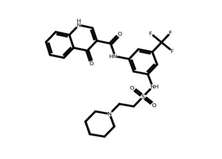 O=C(Nc1cc(NS(=O)(=O)CCN2CCCCC2)cc(C(F)(F)F)c1)c1c[nH]c2ccccc2c1=O